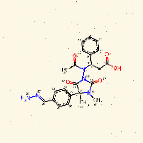 CC(=O)N([C@H](CC(=O)O)c1ccccc1)N1C(=O)N(C)[C@](C)(c2ccc(C=NN)cc2)C1=O